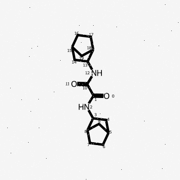 O=C(NC1CC2CCC1C2)C(=O)NC1CC2CCC1C2